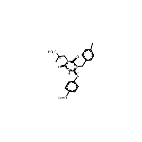 Cc1ccc(Cn2c(=O)n(C[C@@H](C)C(=O)O)c(=O)[nH]/c2=N\c2ccc(OC(C)C)cc2)cc1